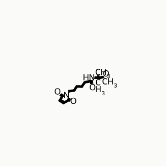 CC(=O)C(C)(C)NC(=O)CCCCCN1C(=O)C=CC1=O